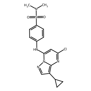 CN(C)S(=O)(=O)c1ccc(Nc2cc(Cl)nc3c(C4CC4)cnn23)cc1